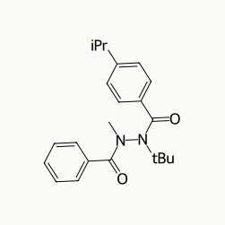 CC(C)c1ccc(C(=O)N(N(C)C(=O)c2ccccc2)C(C)(C)C)cc1